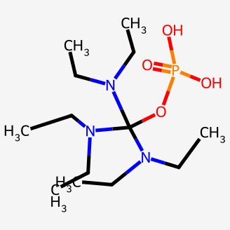 CCN(CC)C(OP(=O)(O)O)(N(CC)CC)N(CC)CC